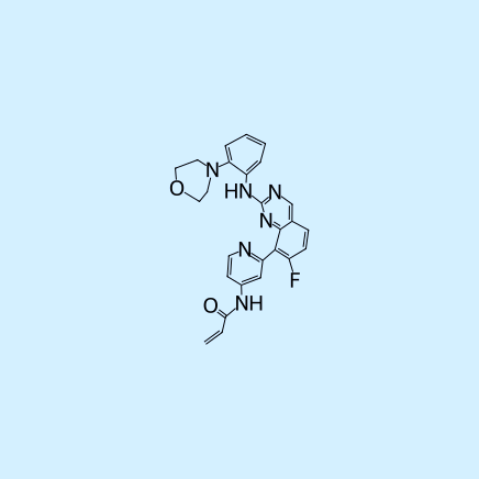 C=CC(=O)Nc1ccnc(-c2c(F)ccc3cnc(Nc4ccccc4N4CCOCC4)nc23)c1